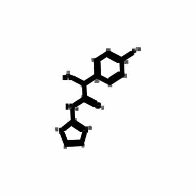 CCCC(C(=O)Nc1nccs1)c1ccc(F)cc1